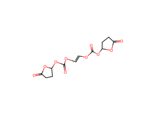 O=C1CCC(OC(=O)OC=COC(=O)OC2CCC(=O)O2)O1